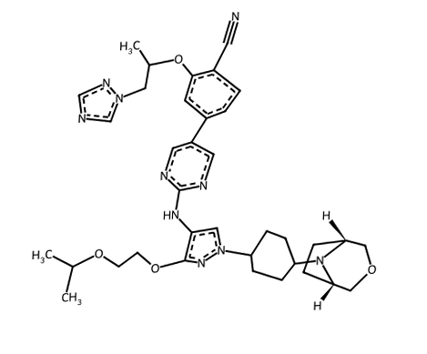 CC(C)OCCOc1nn(C2CCC(N3[C@@H]4CC[C@H]3COC4)CC2)cc1Nc1ncc(-c2ccc(C#N)c(OC(C)Cn3cncn3)c2)cn1